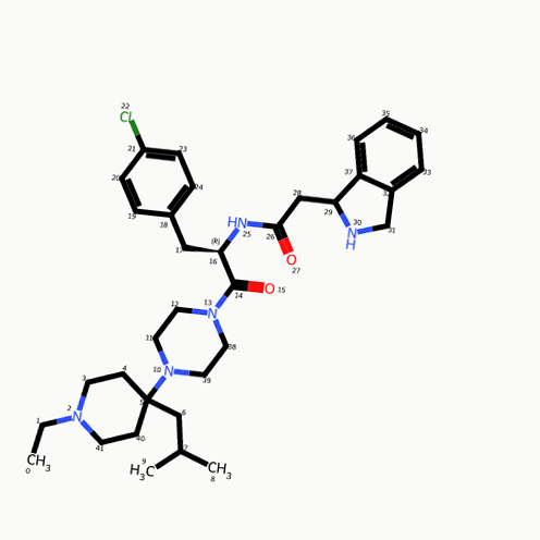 CCN1CCC(CC(C)C)(N2CCN(C(=O)[C@@H](Cc3ccc(Cl)cc3)NC(=O)CC3NCc4ccccc43)CC2)CC1